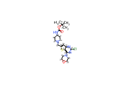 CC(C)(C)OC(=O)NC1CCN(Cc2cc3nc(Cl)nc(N4CCOCC4)c3s2)CC1